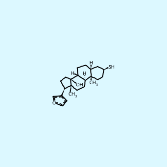 C[C@]12CC[C@H](S)C[C@H]1CC[C@@H]1[C@@H]2CC[C@]2(C)[C@@H](c3ccoc3)CC[C@]12O